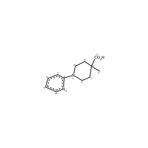 CC1(C(=O)O)CCN(c2ccccn2)CC1